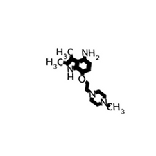 Cc1[nH]c2c(OCCN3CCN(C)CC3)ccc(N)c2c1C